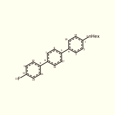 CCCCCCc1ccc(-c2ccc(-c3ccc(F)cc3)cc2)cc1